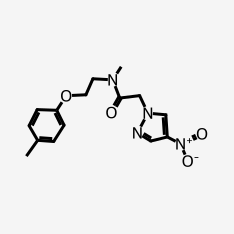 Cc1ccc(OCCN(C)C(=O)Cn2cc([N+](=O)[O-])cn2)cc1